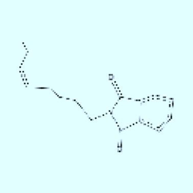 CC/C=C\CCCCN1C(=O)c2ccccc2C1=O